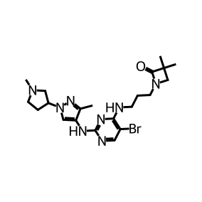 Cc1nn(C2CCN(C)C2)cc1Nc1ncc(Br)c(NCCCN2CC(C)(C)C2=O)n1